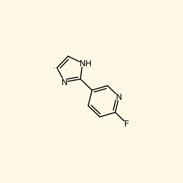 Fc1ccc(-c2n[c]c[nH]2)cn1